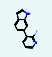 Fc1ncccc1-c1ccc2c[c][nH]c2c1